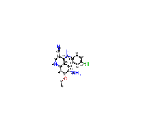 CCOc1cc2ncc(C#N)c(Nc3ccc(Cl)cc3)c2cc1N